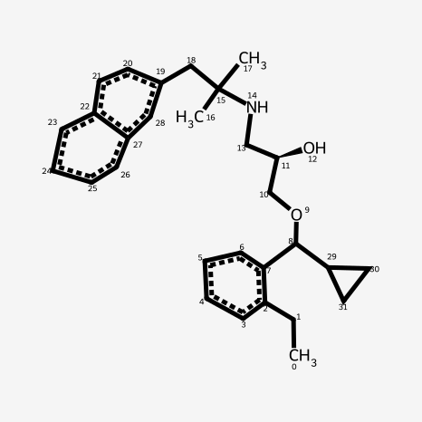 CCc1ccccc1C(OC[C@H](O)CNC(C)(C)Cc1ccc2ccccc2c1)C1CC1